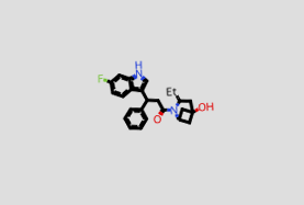 CCC1CC2(O)CC(C2)N1C(=O)CC(c1ccccc1)c1c[nH]c2cc(F)ccc12